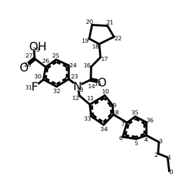 CCCCc1ccc(-c2ccc(CN(C(=O)CCC3CCCC3)c3ccc(C(=O)O)c(F)c3)cc2)cc1